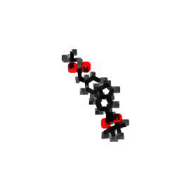 CC(C)(C)OC(=O)C[C@H]1CC[C@@]2(CCc3cc(B4OC(C)(C)C(C)(C)O4)ccc32)CC1